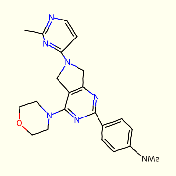 CNc1ccc(-c2nc3c(c(N4CCOCC4)n2)CN(c2ccnc(C)n2)C3)cc1